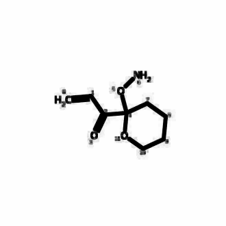 C=CC(=O)C1(ON)CCCCO1